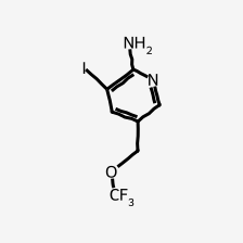 Nc1ncc(COC(F)(F)F)cc1I